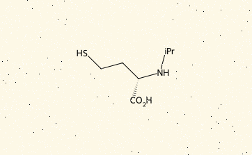 CC(C)N[C@@H](CCS)C(=O)O